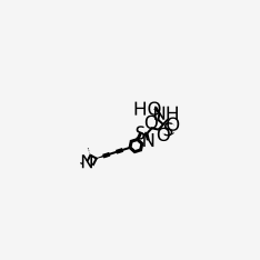 C[C@@H]1[C@@H](C#CC#Cc2ccc3nc(CCC(C)(C(=O)NO)S(C)(=O)=O)sc3c2)CN1C